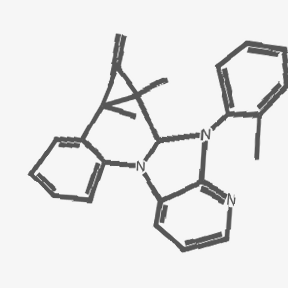 C=C1C2(C)c3ccccc3N3c4cccnc4N(c4ccccc4C)C3C12C